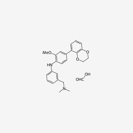 COc1cc(-c2cccc3c2OCCO3)ccc1Nc1cccc(CN(C)C)c1.O=CO